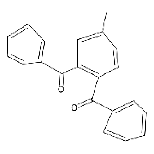 Cc1ccc(C(=O)c2ccccc2)c(C(=O)c2ccccc2)c1